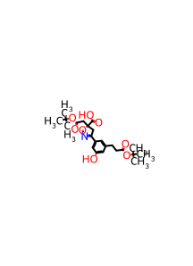 CC(C)(C)OC(=O)CCc1cc(O)cc(C2=NOC(CC(=O)OC(C)(C)C)(C(=O)O)C2)c1